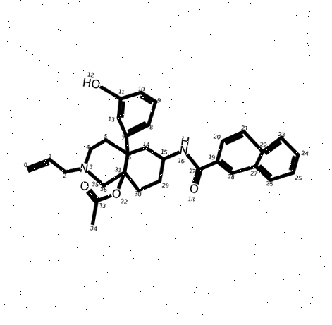 C=CCN1CCC2(c3cccc(O)c3)CC(NC(=O)c3ccc4ccccc4c3)CCC2(OC(C)=O)C1